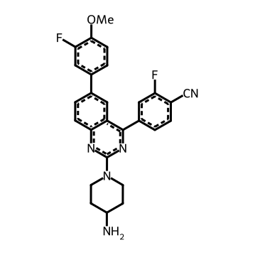 COc1ccc(-c2ccc3nc(N4CCC(N)CC4)nc(-c4ccc(C#N)c(F)c4)c3c2)cc1F